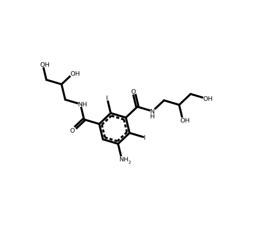 Nc1cc(C(=O)NCC(O)CO)c(I)c(C(=O)NCC(O)CO)c1I